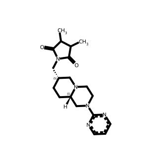 CC1C(=O)N(C[C@H]2CC[C@H]3CN(c4ncccn4)CCN3C2)C(=O)C1C